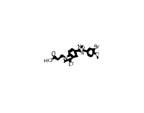 COc1ccc(-c2nc(-c3ccc4c(c3)c(Cl)cn4CCC(=O)O)no2)cc1Br